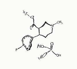 COC(=O)C1CN(C)CCC1c1ccc(F)cc1.O=P(O)(O)O